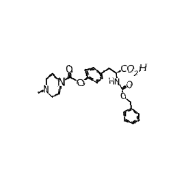 CN1CCN(C(=O)Oc2ccc(C[C@H](NC(=O)OCc3ccccc3)C(=O)O)cc2)CC1